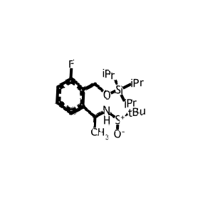 CC(N[S@+]([O-])C(C)(C)C)c1cccc(F)c1CO[Si](C(C)C)(C(C)C)C(C)C